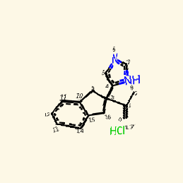 C=C(C)C1(c2cnc[nH]2)Cc2ccccc2C1.Cl